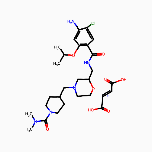 CC(C)Oc1cc(N)c(Cl)cc1C(=O)NCC1CN(CC2CCN(C(=O)N(C)C)CC2)CCO1.O=C(O)/C=C/C(=O)O